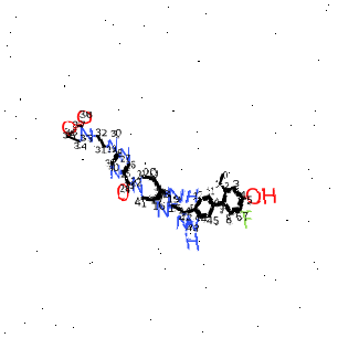 CCc1cc(O)c(F)cc1-c1ccc2c(-c3nc4c([nH]3)CCN(C(=O)c3cnc(N(C)CCN5CCOC5=O)cn3)C4)n[nH]c2c1